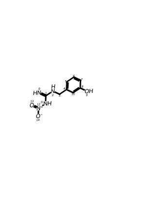 N=C(NCc1cccc(O)c1)N[N+](=O)[O-]